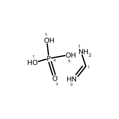 N=CN.O=P(O)(O)O